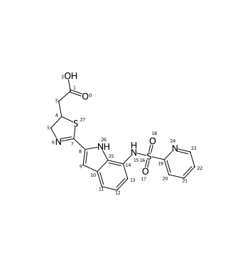 O=C(O)CC1CN=C(c2cc3cccc(NS(=O)(=O)c4ccccn4)c3[nH]2)S1